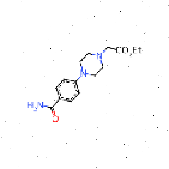 CCOC(=O)CN1CCN(c2ccc(C(N)=O)cc2)CC1